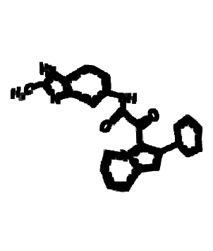 Cc1nc2cc(NC(=O)C(=O)c3c(-c4ccccc4)cc4ccccn34)ccc2[nH]1